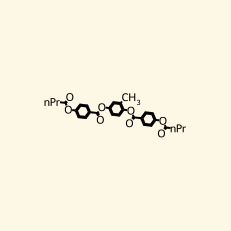 CCCC(=O)Oc1ccc(C(=O)Oc2ccc(OC(=O)c3ccc(OC(=O)CCC)cc3)c(C)c2)cc1